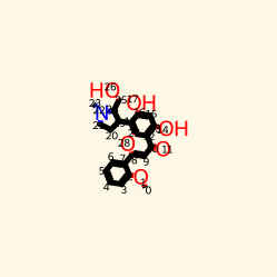 COc1ccccc1-c1cc(=O)c2c(O)cc(O)c(C3CCN(C)C3CO)c2o1